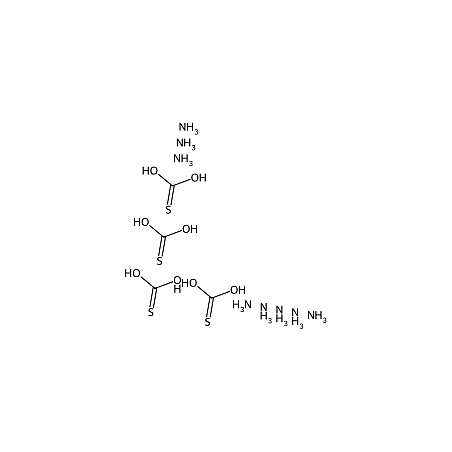 N.N.N.N.N.N.N.N.OC(O)=S.OC(O)=S.OC(O)=S.OC(O)=S